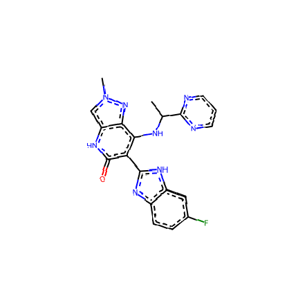 CC(Nc1c(-c2nc3ccc(F)cc3[nH]2)c(=O)[nH]c2cn(C)nc12)c1ncccn1